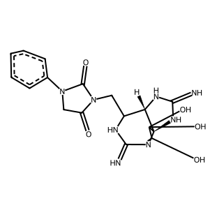 N=C1N[C@H]2C(CN3C(=O)CN(c4ccccc4)C3=O)NC(=N)N3CC(O)C(O)(O)[C@]23N1